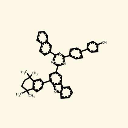 CC1(C)CCC(C)(C)c2cc(-c3cc(-c4nc(-c5ccc(-c6ccc(C#N)cc6)cc5)nc(-c5ccc6ccccc6c5)n4)cc4c3oc3ccccc34)ccc21